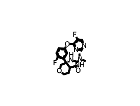 CN(C)C(=N)N[C@@]1(c2cc(Oc3ncncc3F)ccc2F)COCCC1C=O